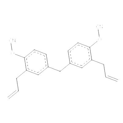 C=CCc1cc(Cc2ccc(OC#N)c(CC=C)c2)ccc1OC#N